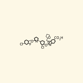 O=C(O)c1ccc2nc(Oc3ccc(-c4cccc(OCc5ccc(Cl)cc5F)n4)cc3Cl)n(CC3CCCO3)c2c1